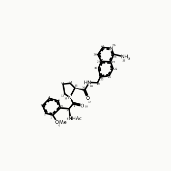 COc1ccccc1C(NC(C)=O)C(=O)N1CCC[C@H]1C(=O)NCc1ccc2c(N)nccc2c1